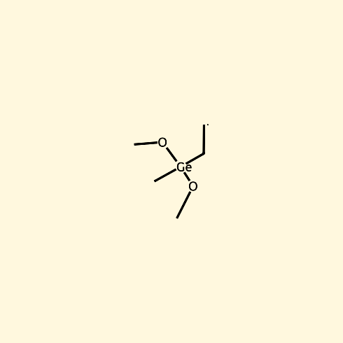 [CH2][CH2][Ge]([CH3])([O]C)[O]C